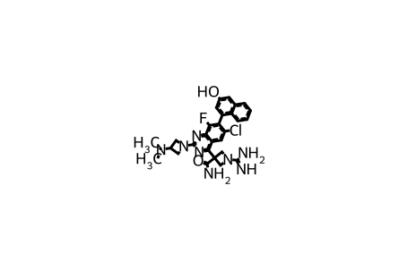 CN(C)C1CN(c2nc(C3(C(N)=O)CN(C(=N)N)C3)c3cc(Cl)c(-c4cc(O)cc5ccccc45)c(F)c3n2)C1